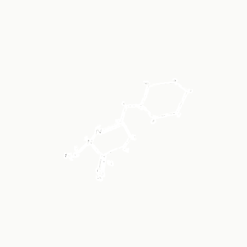 CN1N=C(CC2CCCCC2)CCC1=O